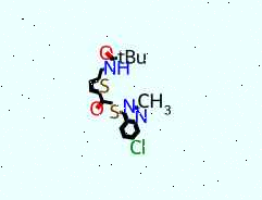 Cc1nc(SCC(=O)c2ccc(CNC(=O)C(C)(C)C)s2)c2ccc(Cl)cc2n1